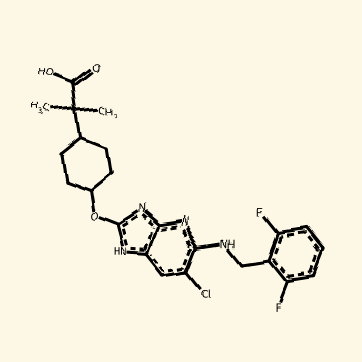 CC(C)(C(=O)O)C1CCC(Oc2nc3nc(NCc4c(F)cccc4F)c(Cl)cc3[nH]2)CC1